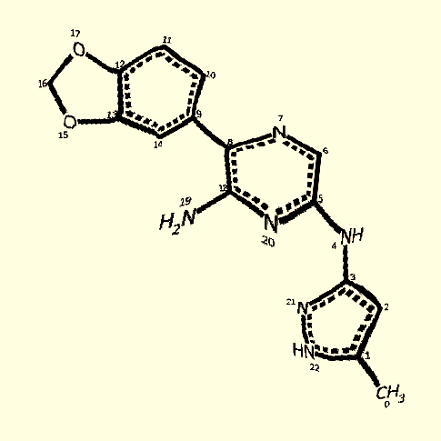 Cc1cc(Nc2cnc(-c3ccc4c(c3)OCO4)c(N)n2)n[nH]1